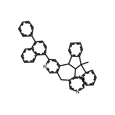 CC1(c2ccccn2)c2ccccc2C2c3cc(-c4ccc(-c5ccccc5)c5ccccc45)ncc3Cc3cnccc3C21